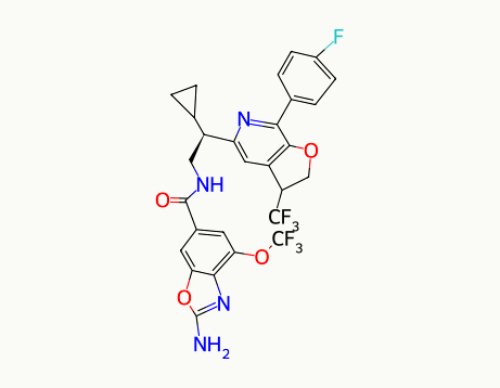 Nc1nc2c(OC(F)(F)F)cc(C(=O)NC[C@H](c3cc4c(c(-c5ccc(F)cc5)n3)OCC4C(F)(F)F)C3CC3)cc2o1